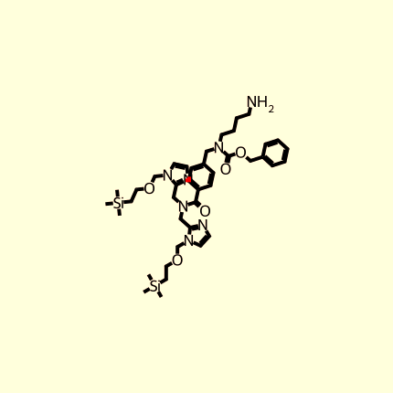 C[Si](C)(C)CCOCn1ccnc1CN(Cc1nccn1COCC[Si](C)(C)C)C(=O)c1ccc(CN(CCCCN)C(=O)OCc2ccccc2)cc1